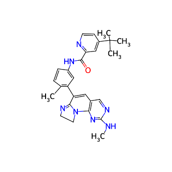 CNc1ncc2c(n1)N1CCN=C1C(c1cc(NC(=O)c3cc(C(C)(C)C)ccn3)ccc1C)=C2